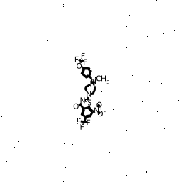 CN(c1ccc(OC(F)(F)F)cc1)N1CCN(c2nc(=O)c3cc(C(F)(F)F)cc([N+](=O)[O-])c3s2)CC1